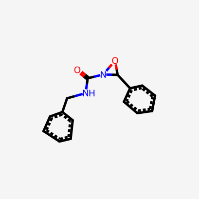 O=C(NCc1ccccc1)N1OC1c1ccccc1